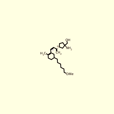 C=C(/C=C\C1=C(C)CCC(CCCCCCOC)C1)[C@@H]1CC[C@](N)(CO)C1